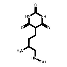 CC(CCC1C(=O)NC(=O)NC1=O)CNO